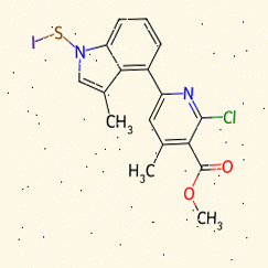 COC(=O)c1c(C)cc(-c2cccc3c2c(C)cn3SI)nc1Cl